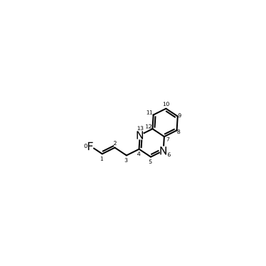 FC=CCc1cnc2ccccc2n1